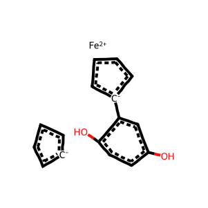 Oc1ccc(O)c(-[c-]2cccc2)c1.[Fe+2].c1cc[cH-]c1